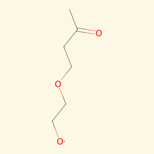 CC(=O)CCOCC[O]